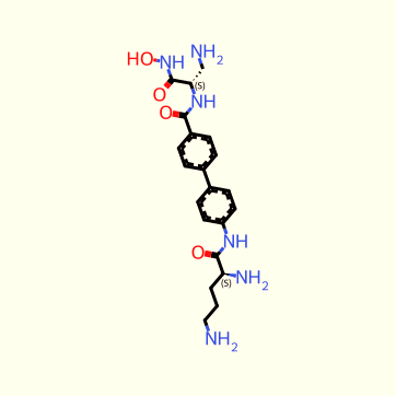 NCCC[C@H](N)C(=O)Nc1ccc(-c2ccc(C(=O)N[C@@H](CN)C(=O)NO)cc2)cc1